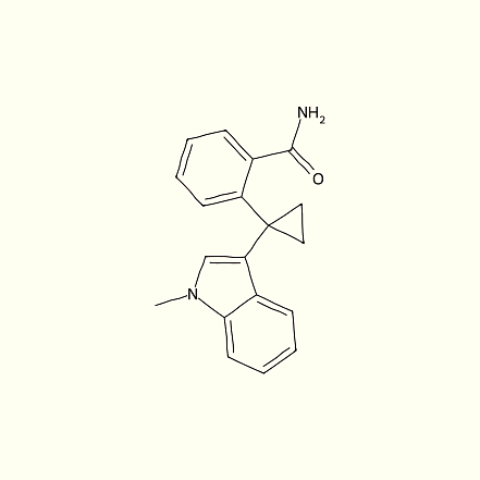 Cn1cc(C2(c3ccccc3C(N)=O)CC2)c2ccccc21